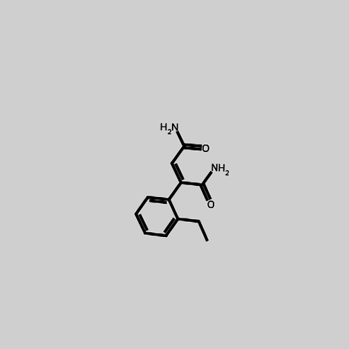 CCc1ccccc1/C(=C/C(N)=O)C(N)=O